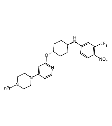 CCCN1CCN(c2ccnc(O[C@H]3CC[C@H](Nc4ccc([N+](=O)[O-])c(C(F)(F)F)c4)CC3)c2)CC1